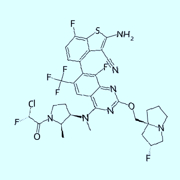 C[C@@H]1[C@H](N(C)c2nc(OC[C@@]34CCCN3C[C@H](F)C4)nc3c(F)c(-c4ccc(F)c5sc(N)c(C#N)c45)c(C(F)(F)F)cc23)CCN1C(=O)[C@H](F)Cl